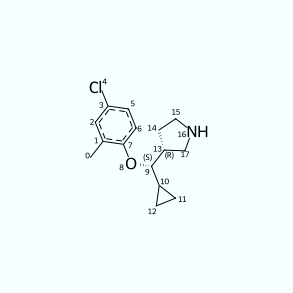 Cc1cc(Cl)ccc1O[C@@H](C1CC1)[C@@H]1CCNC1